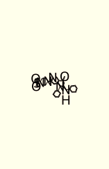 CS(=O)(=O)N1CCN(c2cc3c(cn2)c(=O)cc(Nc2ccccc2)n3-c2ccccc2)CC1